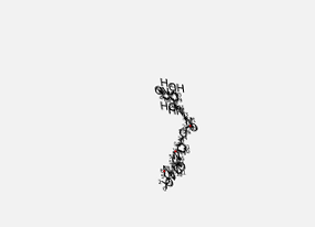 CC(C)Oc1ccnc(N2CCOC3(CCN(Cc4cccc(CCOCCC(=O)N(C)CCNC[C@H](O)c5ccc(O)c6[nH]c(=O)ccc56)c4)CC3)C2)n1